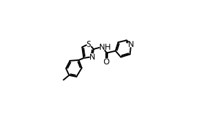 Cc1ccc(-c2csc(NC(=O)c3ccncc3)n2)cc1